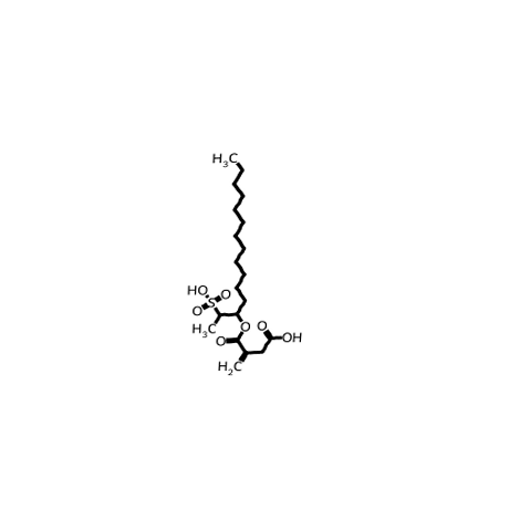 C=C(CC(=O)O)C(=O)OC(CCCCCCCCCCCC)C(C)S(=O)(=O)O